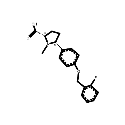 CN1[C@@H](c2ccc(OCc3ccccc3F)cc2)CC[C@H]1C(=O)O